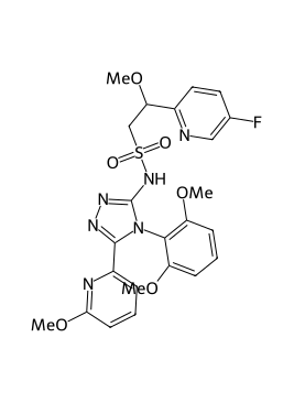 COc1cccc(-c2nnc(NS(=O)(=O)CC(OC)c3ccc(F)cn3)n2-c2c(OC)cccc2OC)n1